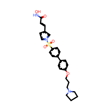 O=C(/C=C/c1ccn(S(=O)(=O)c2ccc(-c3ccc(OCCCN4CCCC4)cc3)cc2)c1)NO